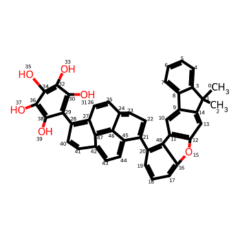 CC1(C)c2ccccc2-c2cc3c(cc21)oc1cccc(-c2ccc4ccc5c(-c6c(O)c(O)c(O)c(O)c6O)ccc6ccc2c4c65)c13